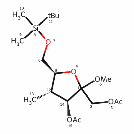 COC1(COC(C)=O)O[C@H](CO[Si](C)(C)C(C)(C)C)[C@@H](C)[C@@H]1OC(C)=O